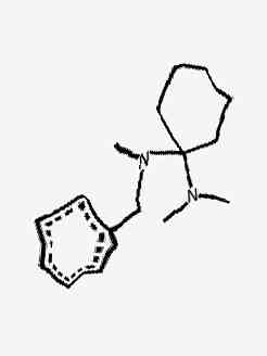 CN(C)C1(N(C)Cc2ccccc2)CCCCC1